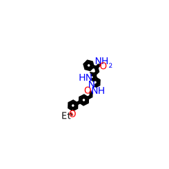 CCOc1cccc(-c2ccc(CC(=O)Nc3ccc4c(C=C(C(N)=O)c5ccccc5)c[nH]c4n3)cc2)c1